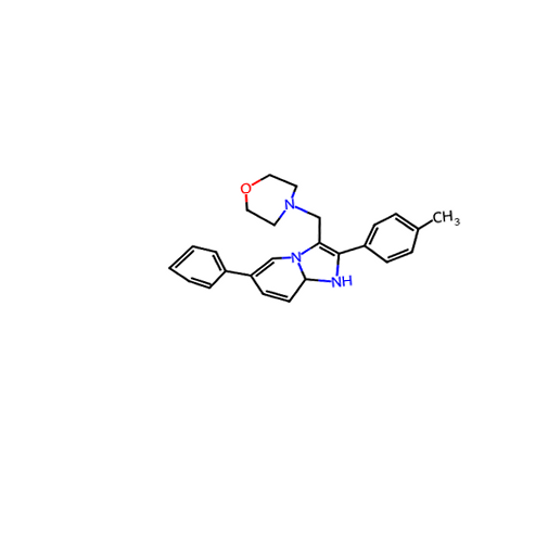 Cc1ccc(C2=C(CN3CCOCC3)N3C=C(c4ccccc4)C=CC3N2)cc1